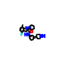 Cc1ccc(F)c2c1NC(C(=O)N[C@H]1CCC[C@H](C3CCNCC3)C1)(C1CCCCC1)C2